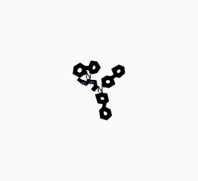 C=C(/C=C(\C=C/C)n1c2ccccc2c2ccccc21)N(c1ccc(-c2ccccc2)cc1)c1ccc(-c2ccccc2)cc1